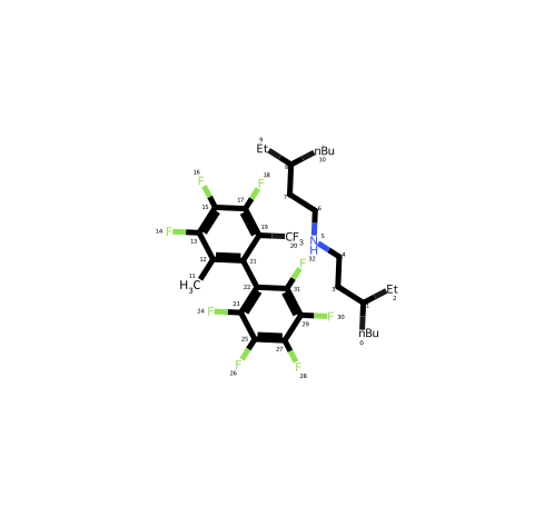 CCCCC(CC)CCNCCC(CC)CCCC.Cc1c(F)c(F)c(F)c(C(F)(F)F)c1-c1c(F)c(F)c(F)c(F)c1F